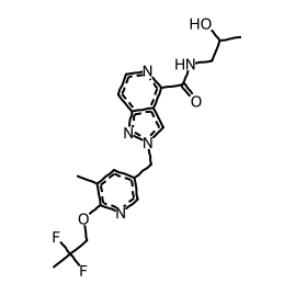 Cc1cc(Cn2cc3c(C(=O)NCC(C)O)nccc3n2)cnc1OCC(C)(F)F